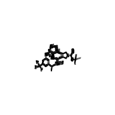 CC(Nc1nc2nncn2c2c1CN(C(=O)OC(C)(C)C)C2)c1cc(N)cc(C(F)(F)F)c1